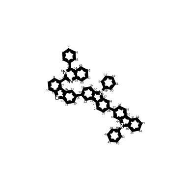 c1ccc(-c2nc(-c3cccc4oc5ccc(-c6ccc7c(c6)c6ccc(-c8ccc9c%10ccccc%10n(-c%10ccccc%10)c9c8)cc6n7-c6ccccc6)cc5c34)nc3ccccc23)cc1